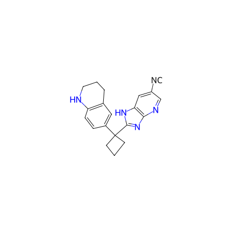 [C-]#[N+]c1cnc2nc(C3(c4ccc5c(c4)CCCN5)CCC3)[nH]c2c1